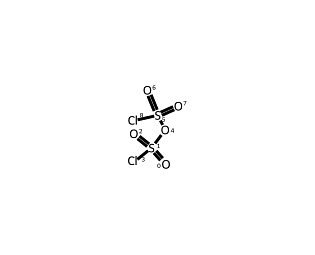 O=S(=O)(Cl)OS(=O)(=O)Cl